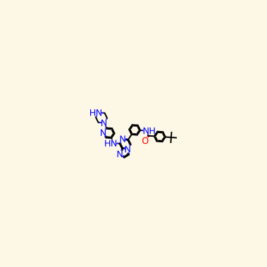 CC(C)(C)c1ccc(C(=O)Nc2cccc(-c3cn4ccnc4c(Nc4ccc(N5CCNCC5)nc4)n3)c2)cc1